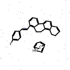 C1=CC2=CC=C(CC2)N1.Fc1ccc(/C=C/c2cccc3c2CCc2c-3ccc3c2CCC=C3)cc1